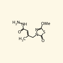 COc1nn(CC(C)=CC(=O)NN)c(=O)s1